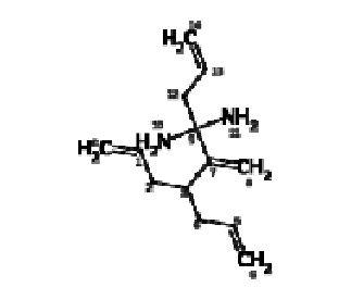 C=CCC(CC=C)C(=C)C(N)(N)CC=C